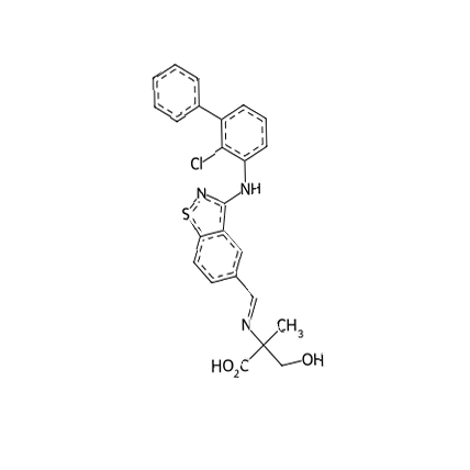 CC(CO)(N=Cc1ccc2snc(Nc3cccc(-c4ccccc4)c3Cl)c2c1)C(=O)O